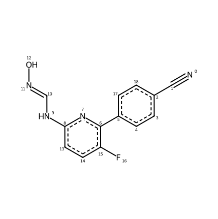 N#Cc1ccc(-c2nc(N/C=N/O)ccc2F)cc1